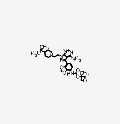 CN(C)C1CCN(CCn2nc(-c3ccc(NC(=O)OC4(C)COC4)c4c3OCO4)c3c(N)ncnc32)CC1